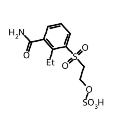 CCc1c(C(N)=O)cccc1S(=O)(=O)CCOS(=O)(=O)O